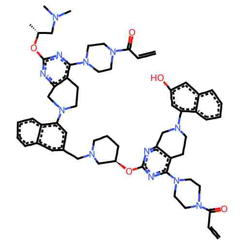 C=CC(=O)N1CCN(c2nc(O[C@@H]3CCCN(Cc4cc(N5CCc6c(nc(O[C@H](C)CN(C)C)nc6N6CCN(C(=O)C=C)CC6)C5)c5ccccc5c4)C3)nc3c2CCN(c2cc(O)cc4ccccc24)C3)CC1